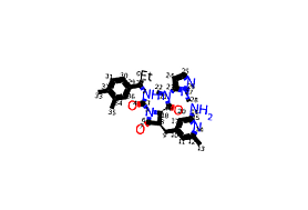 CCC(NC(=O)N1C(=O)[C@H](Cc2cc(C)nc(N)c2)[C@H]1C(=O)N(C)c1ccnn1C)c1ccc(C)c(C)c1